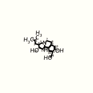 CC(C)CC1CN2CCc3cc(O)c(CO)cc3[C@H]2C[C@@H]1O